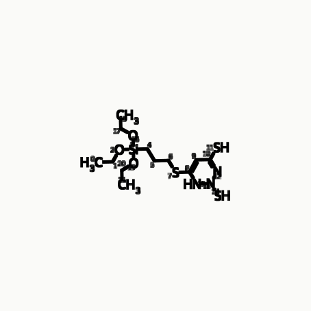 CCO[Si](CCCSC1=CC(S)=NN(S)N1)(OCC)OCC